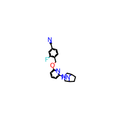 N#Cc1ccc(COc2cccc(N3CC4CCC(C3)N4)n2)c(F)c1